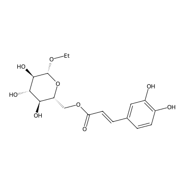 CCO[C@@H]1O[C@H](COC(=O)C=Cc2ccc(O)c(O)c2)[C@@H](O)[C@H](O)[C@H]1O